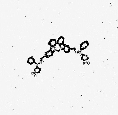 O=S1(=O)CCC(N(/N=C/c2ccc3c(c2)c2ccccc2n3Cn2c3ccccc3c3cc(/C=N/N(c4ccccc4)C4CCS(=O)(=O)C4)ccc32)c2ccccc2)C1